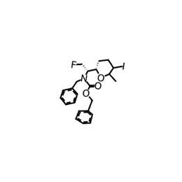 CC1O[C@H]([C@@H](CF)N(Cc2ccccc2)C(=O)OCc2ccccc2)CCC1I